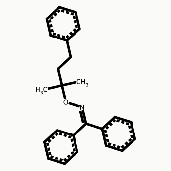 CC(C)(CCc1ccccc1)ON=C(c1ccccc1)c1ccccc1